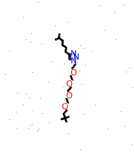 CC(C)CCCCc1cn(CCOCCOCCOCCOCCC(C)(C)C)nn1